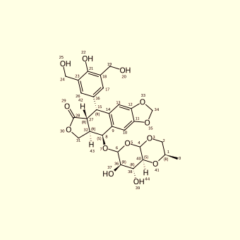 C[C@@H]1COC2OC(O[C@@H]3c4cc5c(cc4[C@@H](c4cc(CO)c(O)c(CO)c4)[C@H]4C(=O)OC[C@@H]43)OCO5)[C@H](O)[C@@H](O)[C@@H]2O1